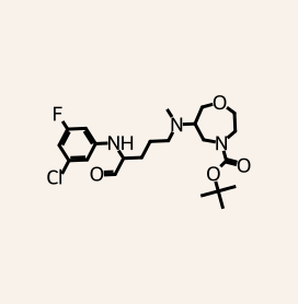 CN(CCCC(C=O)Nc1cc(F)cc(Cl)c1)C1COCCN(C(=O)OC(C)(C)C)C1